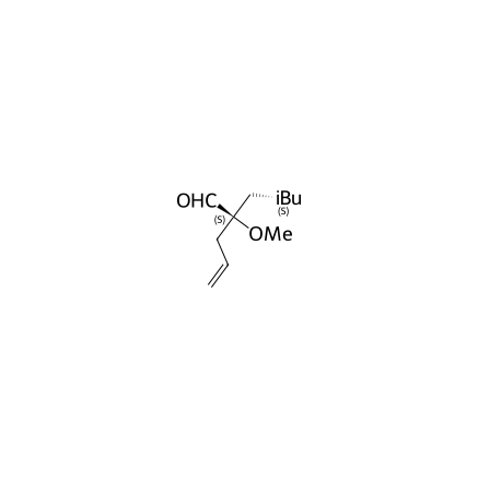 C=CC[C@](C=O)(C[C@@H](C)CC)OC